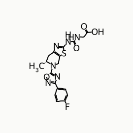 C[C@@H]1Cc2nc(NC(=O)NCC(=O)O)sc2CN1c1nc(-c2ccc(F)cc2)no1